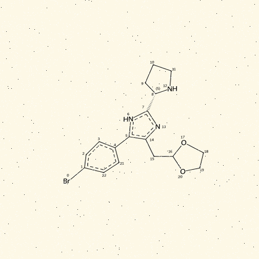 Brc1ccc(-c2[nH]c([C@@H]3CCCN3)nc2CC2OCCO2)cc1